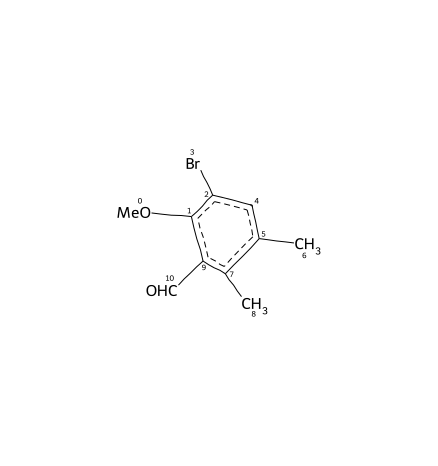 COc1c(Br)cc(C)c(C)c1C=O